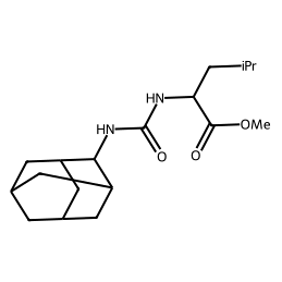 COC(=O)C(CC(C)C)NC(=O)NC1C2CC3CC(C2)CC1C3